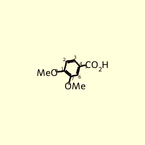 COc1c[c]c(C(=O)O)cc1OC